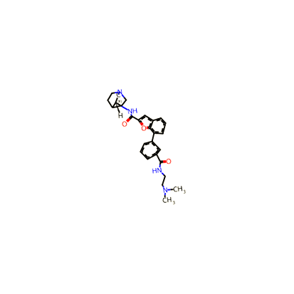 CN(C)CCNC(=O)c1cccc(-c2cccc3cc(C(=O)N[C@H]4CN5CCC4CC5)oc23)c1